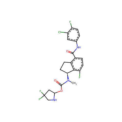 CN(C(=O)OC1CC(F)(F)CN1)[C@H]1CCc2c(C(=O)Nc3ccc(F)c(Cl)c3)ccc(F)c21